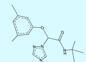 Cc1cc(C)cc(OC(C(=O)NC(C)(C)C)n2cncn2)c1